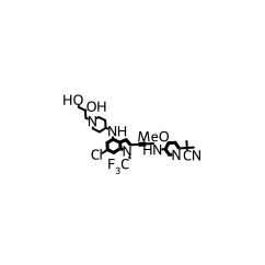 COc1cc(C(C)(C)C#N)ncc1NCC#Cc1cc2c(NC3CCN(CC(O)CO)CC3)cc(Cl)cc2n1CC(F)(F)F